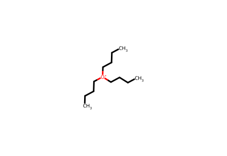 CCCC[O+](CCCC)CCCC